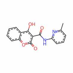 Cc1cccc(NC(=O)c2c(O)c3ccccc3oc2=O)n1